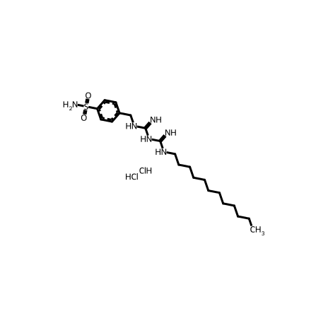 CCCCCCCCCCCCNC(=N)NC(=N)NCc1ccc(S(N)(=O)=O)cc1.Cl.Cl